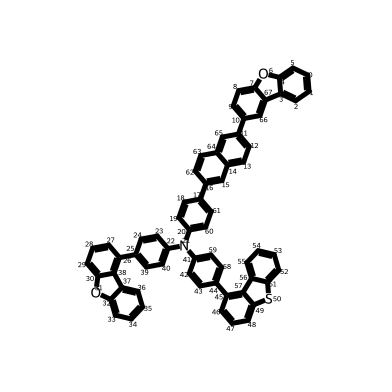 c1ccc2c(c1)oc1ccc(-c3ccc4cc(-c5ccc(N(c6ccc(-c7cccc8oc9ccccc9c78)cc6)c6ccc(-c7cccc8sc9ccccc9c78)cc6)cc5)ccc4c3)cc12